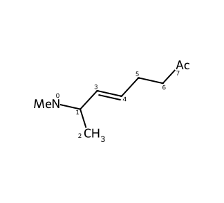 CNC(C)/C=C/CCC(C)=O